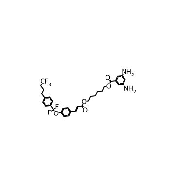 Nc1cc(N)cc(C(=O)OCCCCCCOC(=O)C=Cc2ccc(OC(F)(F)c3ccc(CCCC(F)(F)F)cc3)cc2)c1